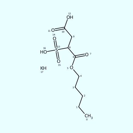 CCCCCOC(=O)C(CC(=O)O)S(=O)(=O)O.[KH]